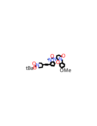 COc1ccc(CN2C(=O)CCC(n3c(=O)n(C)c4c(C#CC5CCN(C(=O)OC(C)(C)C)CC5)cccc43)C2=O)cc1